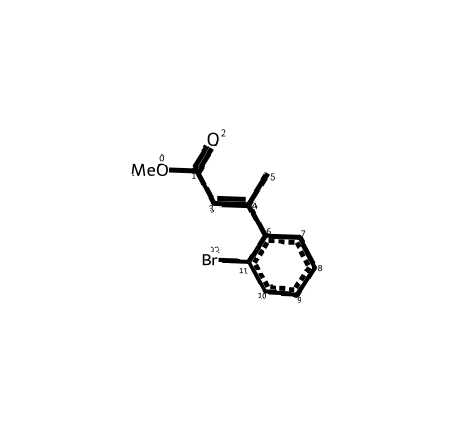 COC(=O)C=C(C)c1ccccc1Br